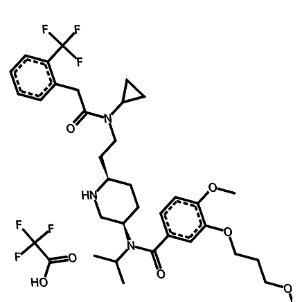 COCCCOc1cc(C(=O)N(C(C)C)[C@@H]2CC[C@H](CCN(C(=O)Cc3ccccc3C(F)(F)F)C3CC3)NC2)ccc1OC.O=C(O)C(F)(F)F